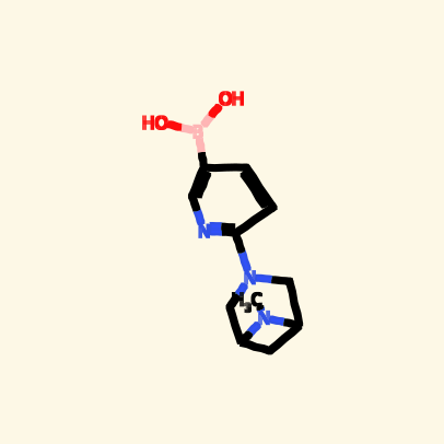 CN1C2CC1CN(c1ccc(B(O)O)cn1)C2